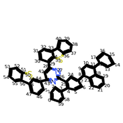 c1ccc(-c2ccc(-c3ccc(-c4ccccc4)c4ccccc34)cc2-c2nc(-c3cccc4c3sc3ccccc34)cc(-c3cccc4c3sc3ccccc34)n2)cc1